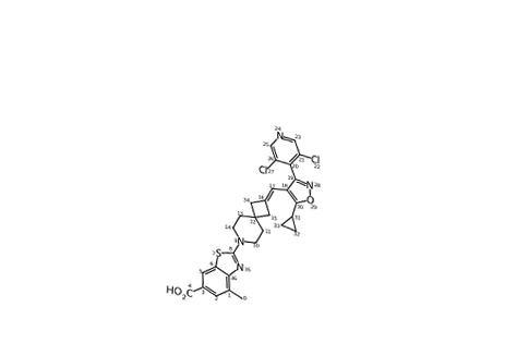 Cc1cc(C(=O)O)cc2sc(N3CCC4(CC3)CC(=Cc3c(-c5c(Cl)cncc5Cl)noc3C3CC3)C4)nc12